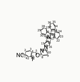 N#Cc1ccc(COc2cccc(-n3cc4c(c3)CN(C(c3ccccc3)(c3ccccc3)c3ccccc3)C4)n2)c(F)c1